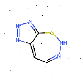 C1=NNSC2=NN=NC2=C1